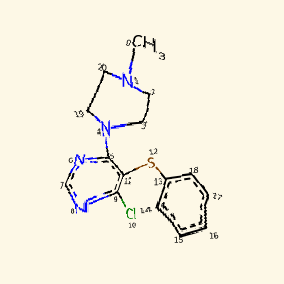 CN1CCN(c2ncnc(Cl)c2Sc2ccccc2)CC1